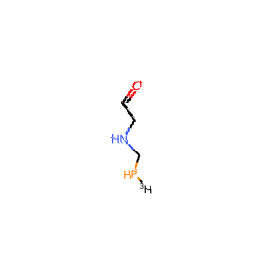 [3H]PCNCC=O